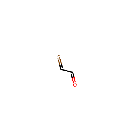 O=CC=S